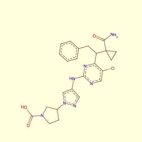 NC(=O)C1(C(Cc2ccccc2)c2nc(Nc3cnn(C4CCN(C(=O)O)C4)c3)ncc2Cl)CC1